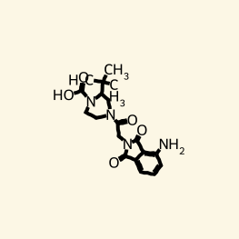 CC(C)(C)C1CN(C(=O)CN2C(=O)c3cccc(N)c3C2=O)CCN1C(=O)O